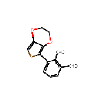 O=Cc1cccc(-c2scc3c2OCCO3)c1C=O